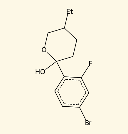 CCC1CCC(O)(c2ccc(Br)cc2F)OC1